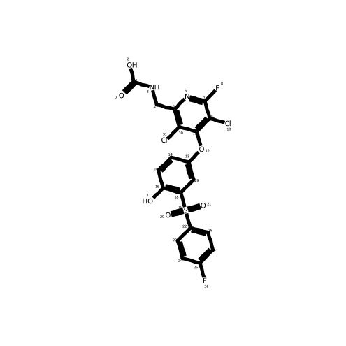 O=C(O)NCc1nc(F)c(Cl)c(Oc2ccc(O)c(S(=O)(=O)c3ccc(F)cc3)c2)c1Cl